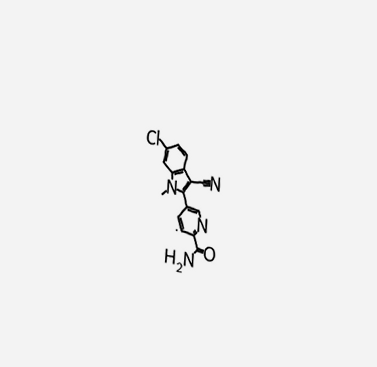 Cn1c(-c2c[c]c(C(N)=O)nc2)c(C#N)c2ccc(Cl)cc21